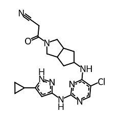 N#CCC(=O)N1CC2CC(Nc3nc(Nc4cc(C5CC5)[nH]n4)ncc3Cl)CC2C1